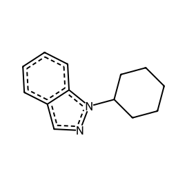 c1ccc2c(c1)cnn2C1CCCCC1